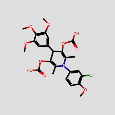 COc1ccc(N2C(C)=C(OC(=O)O)C(c3cc(OC)c(OC)c(OC)c3)C(OC(=O)O)=C2C)cc1Cl